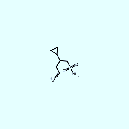 C=CCC(CS(N)(=O)=O)C1CC1